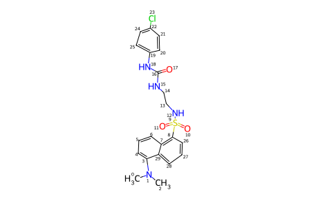 CN(C)c1cccc2c(S(=O)(=O)NCCNC(=O)Nc3ccc(Cl)cc3)cccc12